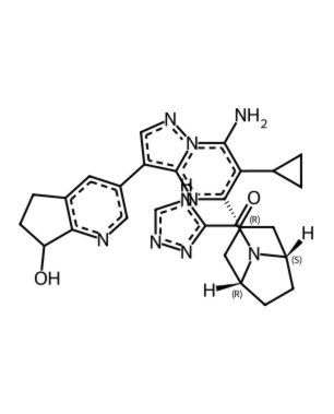 Nc1c(C2CC2)c([C@H]2C[C@H]3CC[C@@H](C2)N3C(=O)c2nnc[nH]2)nc2c(-c3cnc4c(c3)CCC4O)cnn12